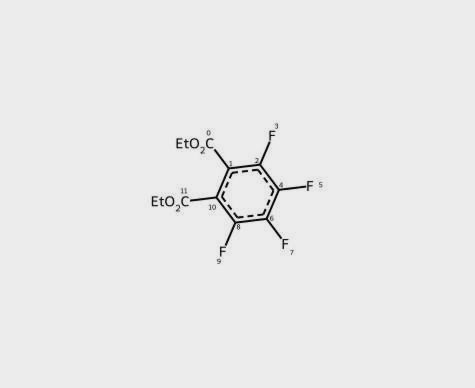 CCOC(=O)c1c(F)c(F)c(F)c(F)c1C(=O)OCC